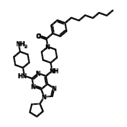 CCCCCCCc1ccc(C(=O)N2CCC(Nc3nc(NC4CCC(N)CC4)nc4c3ncn4C3CCCC3)CC2)cc1